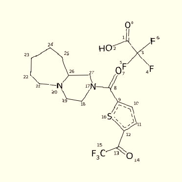 O=C(O)C(F)(F)F.O=C(c1ccc(C(=O)C(F)(F)F)s1)N1CCN2CCCCCC2C1